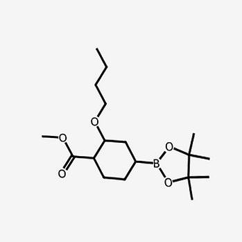 CCCCOC1CC(B2OC(C)(C)C(C)(C)O2)CCC1C(=O)OC